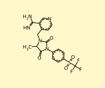 CC1C(=O)N(c2ccc(S(=O)(=O)C(F)(F)F)cc2)C(=O)N1Cc1ccncc1C(=N)N